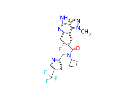 Cn1ncc2c(N)nc3cc(F)c(C(=O)N(Cc4ccc(C(F)(F)F)cn4)C4CCC4)cc3c21